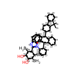 Bc1c(B)c(-c2nc3ccccc3n2-c2ccccc2-c2c3ccccc3c(-c3ccc4c(c3)C(C)(C)c3ccccc3-4)c3ccccc23)c(B)c(O)c1O